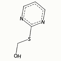 OCSc1ncccn1